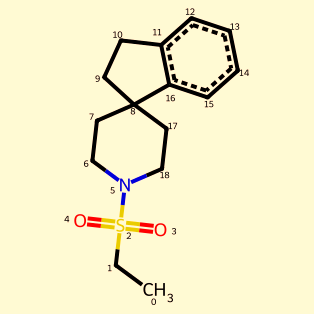 CCS(=O)(=O)N1CCC2(CCc3ccccc32)CC1